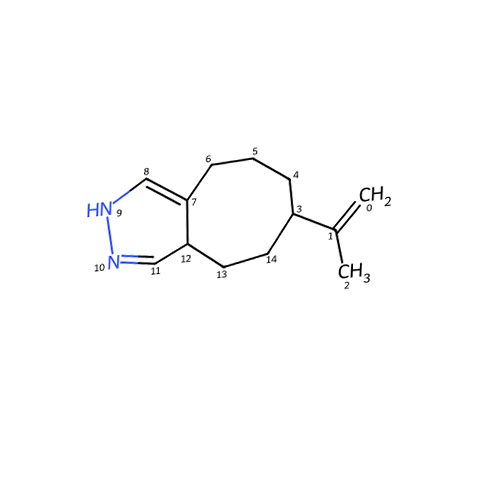 C=C(C)C1CCCC2=CNN=CC2CC1